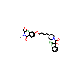 CN(C(=O)c1ccc(OCCCCC2CCN(C(=O)C(O)(c3ccccc3)C(F)(F)F)CC2)cc1Cl)C1COC1